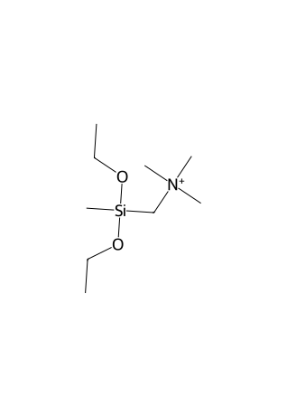 CCO[Si](C)(C[N+](C)(C)C)OCC